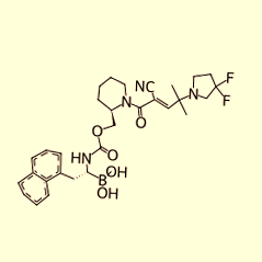 CC(C)(/C=C(\C#N)C(=O)N1CCCC[C@@H]1COC(=O)N[C@@H](Cc1cccc2ccccc12)B(O)O)N1CCC(F)(F)C1